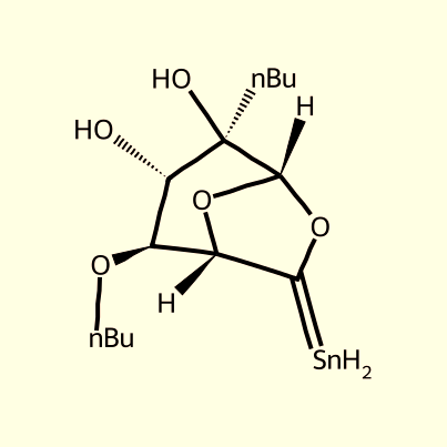 CCCCO[C@@H]1[C@@H]2O[C@@H](O[C]2=[SnH2])[C@@](O)(CCCC)[C@H]1O